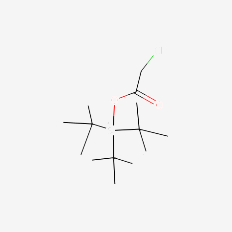 CC(C)(C)[Si](OC(=O)CCl)(C(C)(C)C)C(C)(C)C